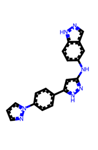 c1cnn(-c2ccc(-c3cc(Nc4ccc5[nH]ncc5c4)n[nH]3)cc2)c1